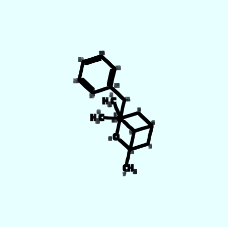 CC1(C)CC2CC(C)(O1)C2OCc1ccccc1